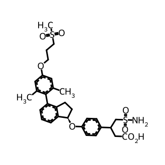 Cc1cc(OCCCS(C)(=O)=O)cc(C)c1-c1cccc2c1CC[C@H]2Oc1ccc(C(CC(=O)O)CS(N)(=O)=O)cc1